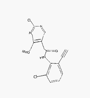 C#Cc1cccc(Cl)c1NC(=O)c1cnc(Cl)nc1OC